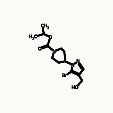 CC(C)OC(=O)N1CCC(n2ncc(CO)c2Br)CC1